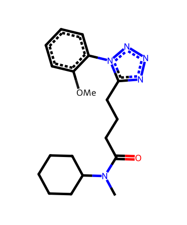 COc1ccccc1-n1nnnc1CCCC(=O)N(C)C1CCCCC1